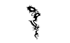 C=CC(C)(CCCc1ccc(F)c(Oc2ccccc2)c1)c1ccc(OCC(C)C)cc1